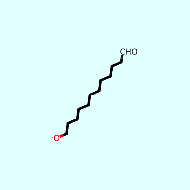 [O]CCCCCCCCCCCC=O